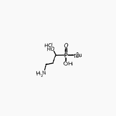 CCCCP(=O)(O)C(O)CCN.Cl